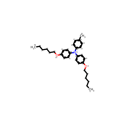 CCCCCCOc1ccc(N(c2ccc(C)cc2)c2ccc(OCCCCCC)cc2)cc1